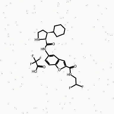 O=C(NCC(F)F)c1cc2cc(NC(=O)[C@H]3NCC[C@H]3C3CCCCC3)ccc2o1.O=C(O)C(F)(F)F